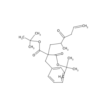 C=CCC(=O)C(C)CC(Cc1ccccc1)(C(=O)OC(C)(C)C)C(=O)OC(C)(C)C